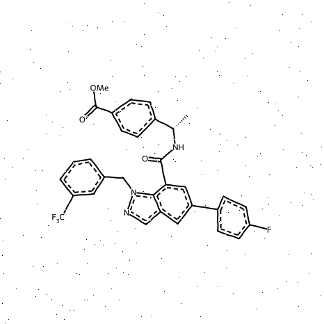 COC(=O)c1ccc([C@H](C)NC(=O)c2cc(-c3ccc(F)cc3)cc3cnn(Cc4cccc(C(F)(F)F)c4)c23)cc1